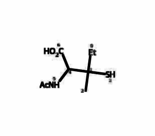 CCC(C)(S)C(NC(C)=O)C(=O)O